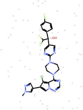 Cn1cc(-c2cn3ncnc(N4CCN(c5ncc([C@](O)(c6ccc(F)cc6)C(F)F)cn5)CC4)c3c2Cl)cn1